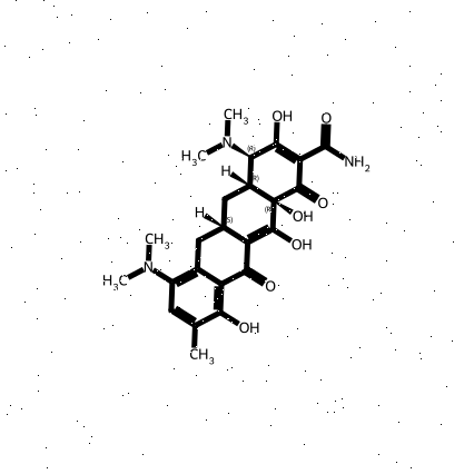 Cc1cc(N(C)C)c2c(c1O)C(=O)C1=C(O)[C@@]3(O)C(=O)C(C(N)=O)=C(O)[C@H](N(C)C)[C@H]3C[C@H]1C2